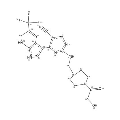 N#Cc1cnc(NCC2CCN(C(=O)CO)CC2)nc1-c1c[nH]c2c1C=C(C(F)(F)F)CN2